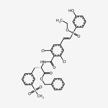 CCOP(=O)(/C=C/c1cc(Cl)c(C(=O)N[C@@H](Cc2cccc(S(C)(=O)=O)c2)C(=O)OCc2ccccc2)c(Cl)c1)c1cccc(O)c1